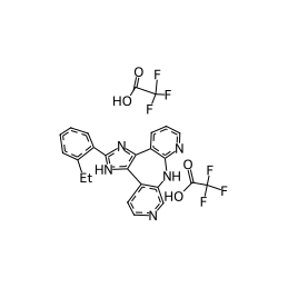 CCc1ccccc1-c1nc2c([nH]1)-c1ccncc1Nc1ncccc1-2.O=C(O)C(F)(F)F.O=C(O)C(F)(F)F